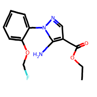 CCOC(=O)c1cnn(-c2ccccc2OCF)c1N